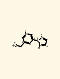 OCc1cncc(-n2nccn2)c1